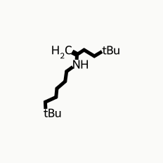 C=C(CCC(C)(C)C)NCCCCCC(C)(C)C